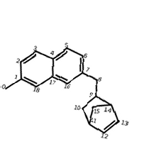 Cc1ccc2ccc(CC3CC4C=CC3C4)cc2c1